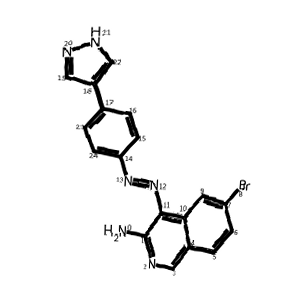 Nc1ncc2ccc(Br)cc2c1/N=N/c1ccc(-c2cn[nH]c2)cc1